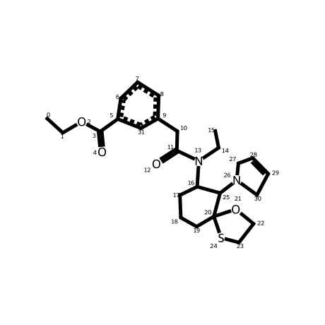 CCOC(=O)c1cccc(CC(=O)N(CC)C2CCCC3(OCCS3)C2N2CC=CC2)c1